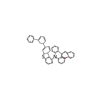 C1=CC(C2=CC3Sc4cccc(N(c5ccccc5)c5ccccc5-c5ccc6ccccc6c5)c4C3C=C2)CC(c2ccccc2)=C1